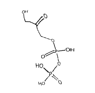 O=C(CO)COP(=O)(O)OP(=O)(O)O